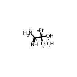 CCC(O)(C(=N)N)C(=O)O